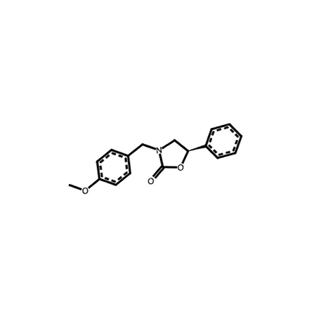 COc1ccc(CN2C[C@@H](c3ccccc3)OC2=O)cc1